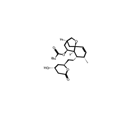 CC[C@H](C)C(=O)O[C@H]1C[C@H]2CO[C@]3(C=C[C@H](C)[C@H](CC[C@@H]4C[C@@H](O)CC(=O)O4)[C@@]13I)C2